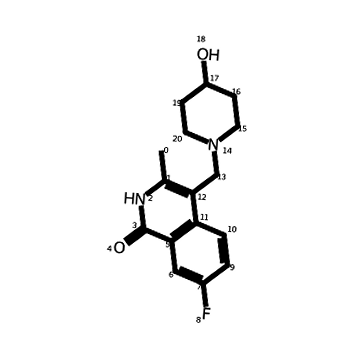 Cc1[nH]c(=O)c2cc(F)ccc2c1CN1CCC(O)CC1